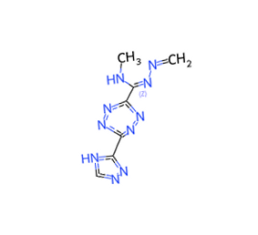 C=N/N=C(\NC)c1nnc(-c2nnc[nH]2)nn1